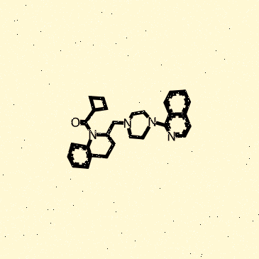 O=C(C1CCC1)N1c2ccccc2CCC1CN1CCN(c2nccc3ccccc23)CC1